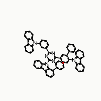 c1ccc(-c2cc(-c3nc(-c4cccc(-n5c6ccccc6c6ccccc65)c4)nc(-n4c5ccccc5c5cccc(-c6ccccc6)c54)n3)ccc2-n2c3ccccc3c3ccccc32)cc1